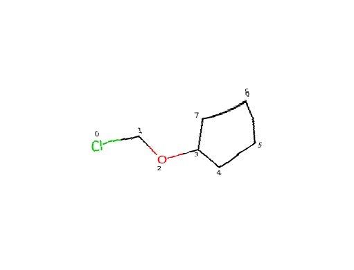 ClCOC1CCCC1